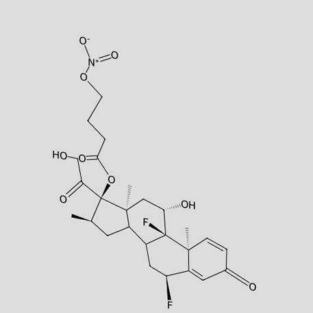 C[C@@H]1CC2C3C[C@H](F)C4=CC(=O)C=C[C@]4(C)[C@@]3(F)[C@@H](O)C[C@]2(C)[C@@]1(OC(=O)CCCO[N+](=O)[O-])C(=O)CO